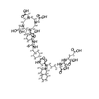 O=C(O)CC[C@H](NC(=O)N[C@@H](CCCCNC(=O)[C@H](Cc1ccc2ccccc2c1)NC(=O)[C@H]1CC[C@H](CNC(=S)Nc2ccc(CC3CN(CC(O)O)CCN(CC(=O)O)CCN(CC(=O)O)CCN3CC(=O)O)cc2)CC1)C(=O)O)C(=O)O